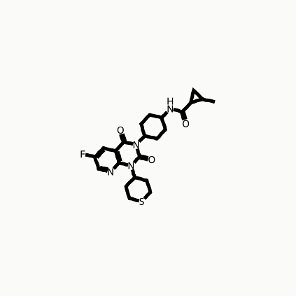 CC1CC1C(=O)NC1CCC(n2c(=O)c3cc(F)cnc3n(C3CCSCC3)c2=O)CC1